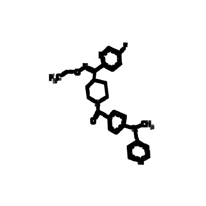 CN(c1ccncc1)c1ccc(C(=O)N2CCC(/C(=N\OCC(F)(F)F)c3ccc(F)cn3)CC2)cc1